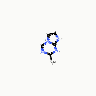 N#Cc1ncn2ccnc2n1